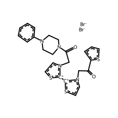 O=C(Cn1ccs[c+]1-[c+]1sccn1CC(=O)N1CCN(c2ccccc2)CC1)c1cccs1.[Br-].[Br-]